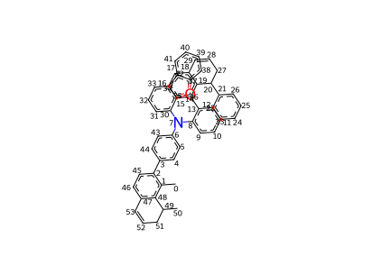 Cc1c(-c2ccc(N(c3ccccc3-c3cccc4c3C(c3ccccc3)CC=C4)c3cccc4c3oc3ccccc34)cc2)ccc2c1C(C)CC=C2